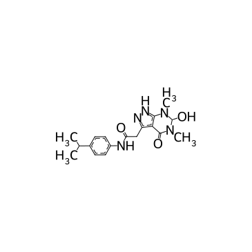 CC(C)c1ccc(NC(=O)Cc2n[nH]c3c2C(=O)N(C)C(O)N3C)cc1